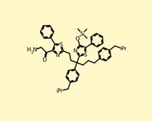 CC(C)Cc1ccc(CCCC(CCc2nc(C(=O)CN)c(-c3ccccc3)s2)(c2ccc(CC(C)C)cc2)c2nc(O[Si](C)(C)C)c(-c3ccccc3)s2)cc1